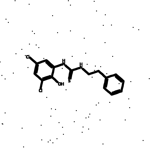 Oc1c(Cl)cc(Cl)cc1NC(=S)NCCc1ccccc1